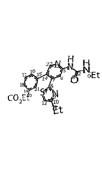 CCNC(=O)Nc1cc(-c2nc(CC)cs2)c(-c2cccc(C(=O)OCC)c2)cn1